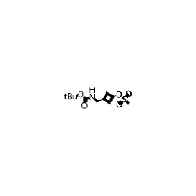 CC(C)(C)OC(=O)NC[C@H]1C[C@H](OS(C)(=O)=O)C1